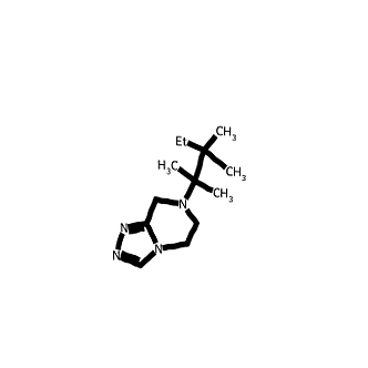 CCC(C)(C)C(C)(C)N1CCn2cnnc2C1